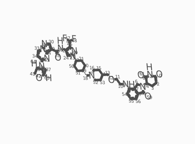 O=C1CCC(N2Cc3c(NCCOCC4CCN(C[C@H]5CC[C@H](n6cc(NC(=O)c7cnn8ccc(N9C[C@H]%10C[C@@H]9CO%10)nc78)c(C(F)F)n6)CC5)CC4)cccc3C2=O)C(=O)N1